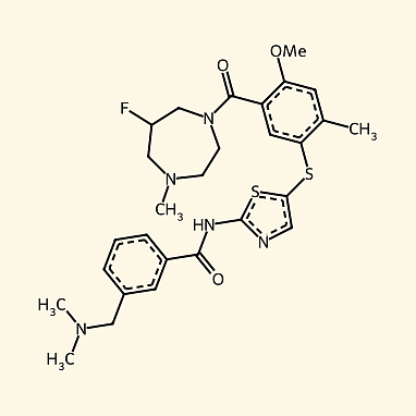 COc1cc(C)c(Sc2cnc(NC(=O)c3cccc(CN(C)C)c3)s2)cc1C(=O)N1CCN(C)CC(F)C1